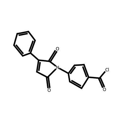 O=C(Cl)c1ccc(N2C(=O)C=C(c3ccccc3)C2=O)cc1